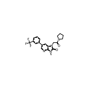 Cn1c(=O)n(CC(=O)N2CCCC2)c2cc(-c3cccc(C(F)(F)F)c3)cnc21